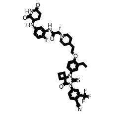 CCc1cc(N2C(=S)N(c3ccc(C#N)c(C(F)(F)F)c3)C(=O)C23CCC3)ccc1OCCC1CCN([C@@H](C)C(=O)Nc2cc(NC3CCC(=O)NC3=O)ccc2F)CC1